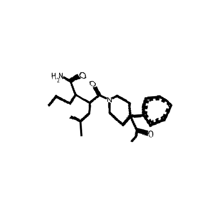 CCCC(C(N)=O)C(CC(C)C)C(=O)N1CCC(C(C)=O)(c2ccccc2)CC1